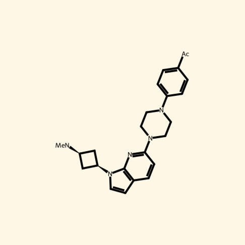 CN[C@H]1C[C@@H](n2ccc3ccc(N4CCN(c5ccc(C(C)=O)cc5)CC4)nc32)C1